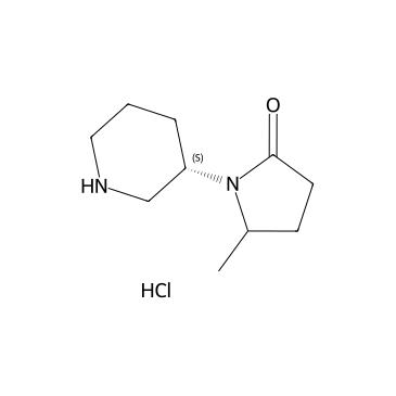 CC1CCC(=O)N1[C@H]1CCCNC1.Cl